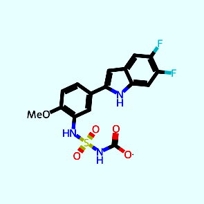 COc1ccc(-c2cc3cc(F)c(F)cc3[nH]2)cc1NS(=O)(=O)NC([O])=O